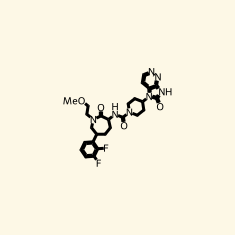 COCCN1CC(c2cccc(F)c2F)CCC(NC(=O)N2CCC(n3c(=O)[nH]c4nnccc43)CC2)C1=O